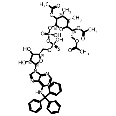 CC(=O)OC[C@@H](OC(C)=O)C1O[C@@H](OP(=O)(O)OP(O)(=S)OC[C@H]2O[C@@H](n3cnc4c(NC(c5ccccc5)(c5ccccc5)c5ccccc5)ncnc43)[C@@H](O)C2O)C(OC(C)=O)[C@@H](C)[C@@H]1C